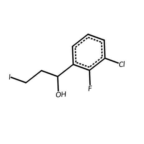 OC(CCI)c1cccc(Cl)c1F